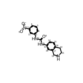 O=C(Nc1cccc([N+](=O)[O-])c1)Nc1ccc2c(c1)CNCC2